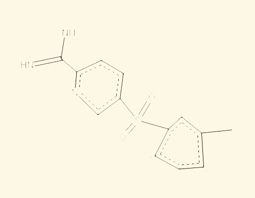 Cc1cccc(S(=O)(=O)c2ccc(C(=N)N)nc2)c1